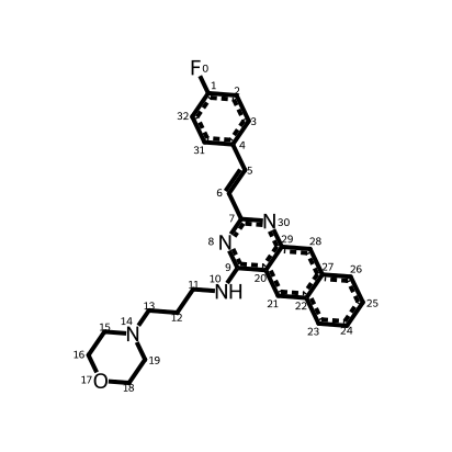 Fc1ccc(C=Cc2nc(NCCCN3CCOCC3)c3cc4ccccc4cc3n2)cc1